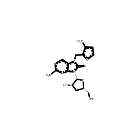 Nc1ncc2c(n1)n([C@@H]1O[C@H](CO)C[C@H]1O)c(=O)n2Cc1sccc1C(=O)O